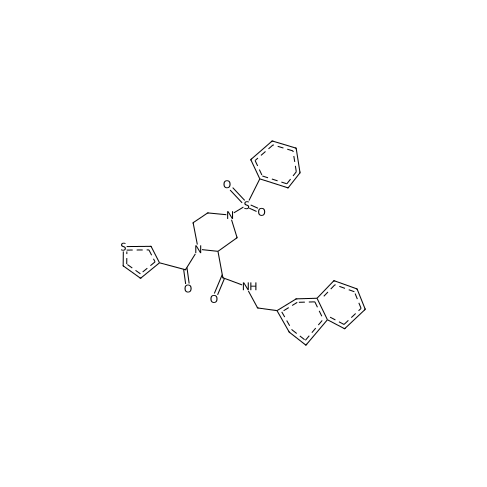 O=C(NCc1ccc2ccccc2c1)C1CN(S(=O)(=O)c2ccccc2)CCN1C(=O)c1ccsc1